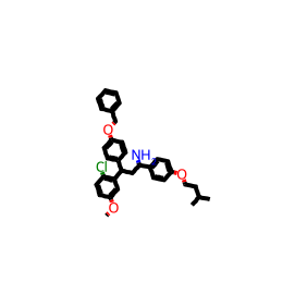 COc1ccc(Cl)c(C(CC(N)c2ccc(OCCC(C)C)cc2)c2ccc(OCc3ccccc3)cc2)c1